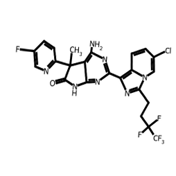 CC1(c2ccc(F)cn2)C(=O)Nc2nc(-c3nc(CCC(F)(F)C(F)(F)F)n4cc(Cl)ccc34)nc(N)c21